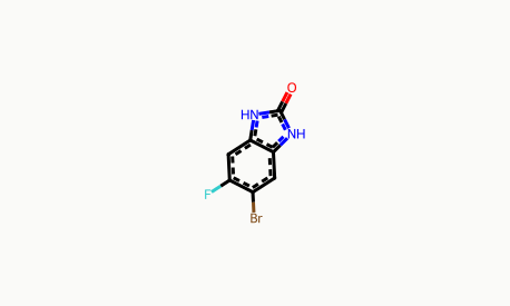 O=c1[nH]c2cc(F)c(Br)cc2[nH]1